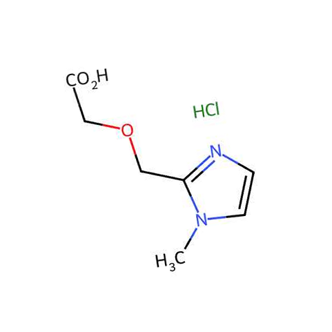 Cl.Cn1ccnc1COCC(=O)O